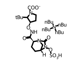 CC(C)(C)C1[C@H](ONC(=O)[C@@H]2CC[C@@H]3CN2C(=O)N3OS(=O)(=O)O)CCN1C(=O)[O-].CCCC[N+](CCCC)(CCCC)CCCC